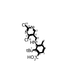 Cc1ccc(C(=O)O)c(C(C)(C)C)c1NCc1cnc(Cl)nc1Cl